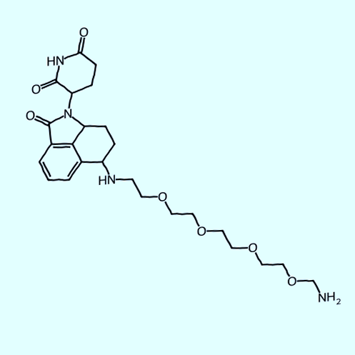 NCOCCOCCOCCOCCNC1CCC2c3c(cccc31)C(=O)N2C1CCC(=O)NC1=O